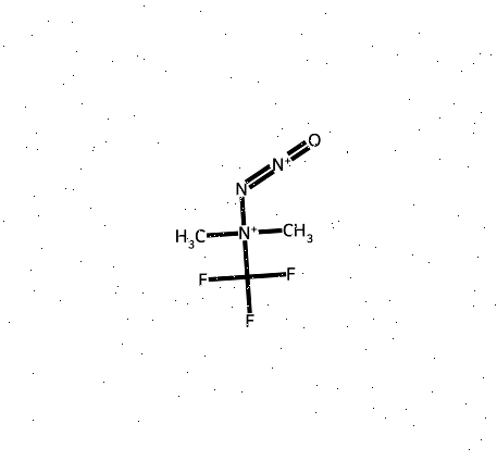 C[N+](C)(N=[N+]=O)C(F)(F)F